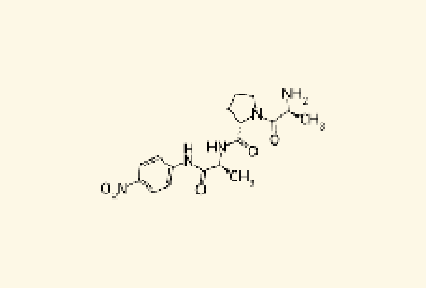 C[C@H](N)C(=O)N1CCC[C@H]1C(=O)N[C@@H](C)C(=O)Nc1ccc([N+](=O)[O-])cc1